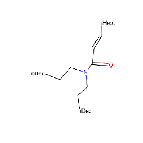 CCCCCCCC=CC(=O)N(CCCCCCCCCCCC)CCCCCCCCCCCC